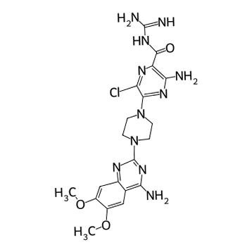 COc1cc2nc(N3CCN(c4nc(N)c(C(=O)NC(=N)N)nc4Cl)CC3)nc(N)c2cc1OC